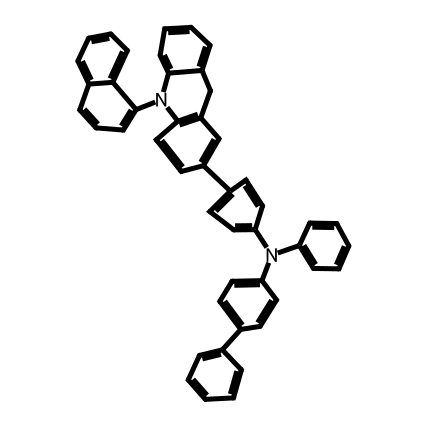 c1ccc(-c2ccc(N(c3ccccc3)c3ccc(-c4ccc5c(c4)Cc4ccccc4N5c4cccc5ccccc45)cc3)cc2)cc1